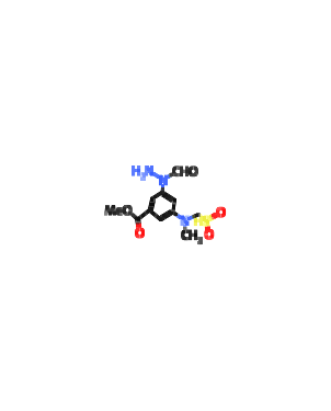 COC(=O)c1cc(N(N)C=O)cc(N(C)C[SH](=O)=O)c1